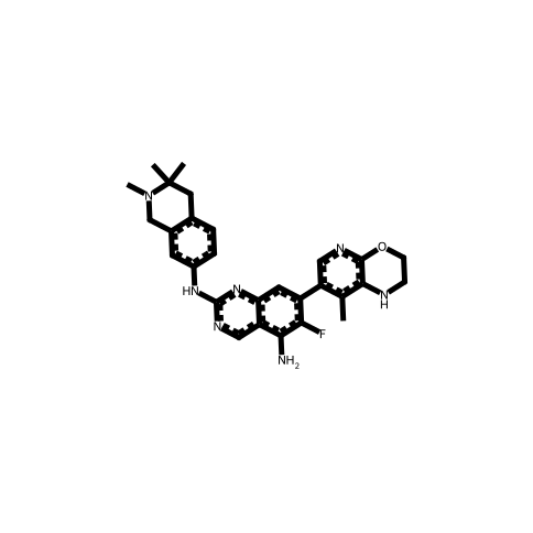 Cc1c(-c2cc3nc(Nc4ccc5c(c4)CN(C)C(C)(C)C5)ncc3c(N)c2F)cnc2c1NCCO2